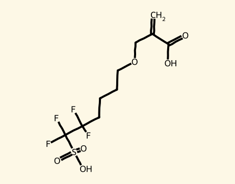 C=C(COCCCCC(F)(F)C(F)(F)S(=O)(=O)O)C(=O)O